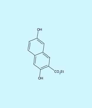 CCOC(=O)c1cc2cc(O)ccc2cc1O